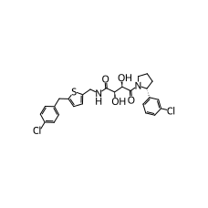 O=C(NCc1ccc(Cc2ccc(Cl)cc2)s1)[C@H](O)[C@@H](O)C(=O)N1CCC[C@@H]1c1cccc(Cl)c1